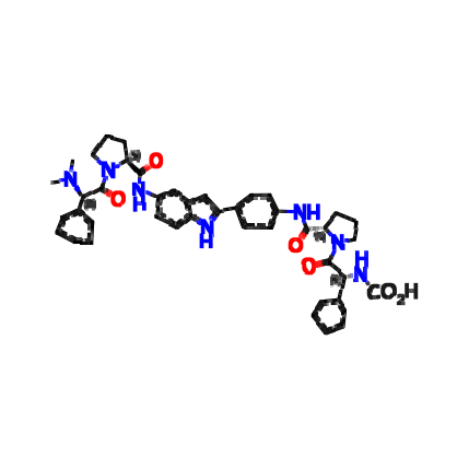 CN(C)[C@@H](C(=O)N1CCC[C@H]1C(=O)Nc1ccc2[nH]c(-c3ccc(NC(=O)[C@@H]4CCCN4C(=O)[C@H](NC(=O)O)c4ccccc4)cc3)cc2c1)c1ccccc1